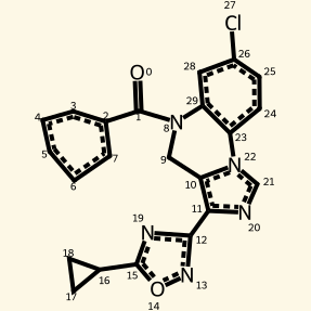 O=C(c1ccccc1)N1Cc2c(-c3noc(C4CC4)n3)ncn2-c2ccc(Cl)cc21